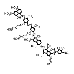 Cc1cc(N=Nc2c(S(=O)(=O)O)cc3c(S(=O)(=O)O)c(N=Nc4cc(S(=O)(=O)O)c5cc(SOOO)c(N=Nc6ccc([N+](=O)[O-])cc6S(=O)(=O)O)c(O)c5c4N)ccc3c2O)c(OCCCSOOO)cc1N=Nc1cc(C)c(N=Nc2ccc(S(=O)(=O)O)c3cc(S(=O)(=O)O)cc(O)c23)cc1OCCCSOOO